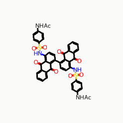 CC(=O)Nc1ccc(S(=O)(=O)Nc2ccc(-c3ccc(NS(=O)(=O)c4ccc(NC(C)=O)cc4)c4c3C(=O)c3ccccc3C4=O)c3c2C(=O)c2ccccc2C3=O)cc1